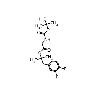 CC(C)(C)OC(=O)NCC(=O)OC(C)(C)Cc1ccc(F)c(F)c1